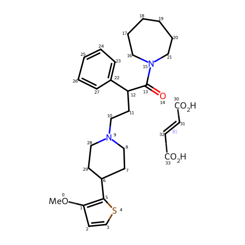 COc1ccsc1C1CCN(CCC(C(=O)N2CCCCCC2)c2ccccc2)CC1.O=C(O)/C=C/C(=O)O